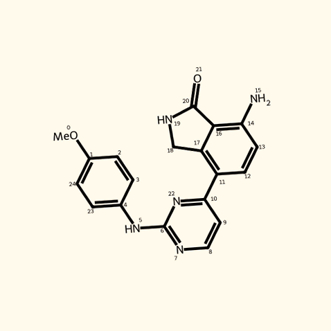 COc1ccc(Nc2nccc(-c3ccc(N)c4c3CNC4=O)n2)cc1